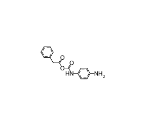 Nc1ccc(NC(=O)OC(=O)Cc2ccccc2)cc1